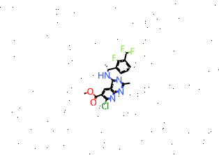 COC(=O)c1cc2c(N[C@H](C)c3cccc(C(F)F)c3F)nc(C)nc2nc1Cl